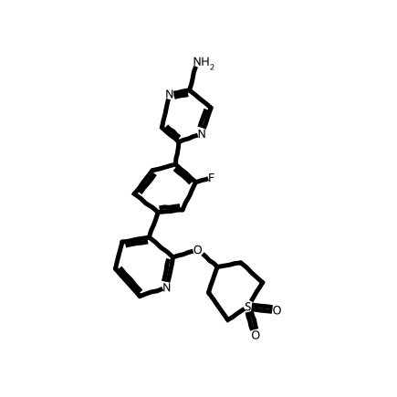 Nc1cnc(-c2ccc(-c3cccnc3OC3CCS(=O)(=O)CC3)cc2F)cn1